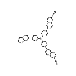 N#CC1=CC2C=CC(C3=CCC(N(c4ccc(-c5ccc6ccccc6c5)cc4)c4ccc(-c5ccc6cc(C#N)ccc6c5)cc4)C=C3)=CC2C=C1